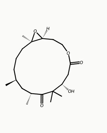 C[C@H]1CCC[C@@]2(C)O[C@H]2CCOC(=O)C[C@H](O)C(C)(C)C(=O)[C@H](C)C1